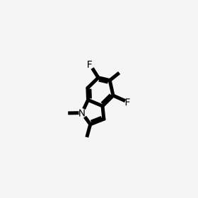 Cc1c(F)cc2c(cc(C)n2C)c1F